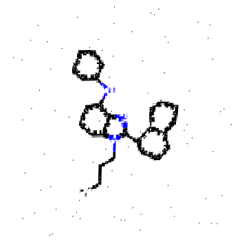 CCCCn1c(-c2cccc3ccccc23)nc2c(Nc3ccccc3)cccc21